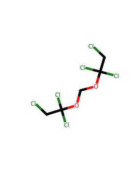 ClCC(Cl)(Cl)O[CH]OC(Cl)(Cl)CCl